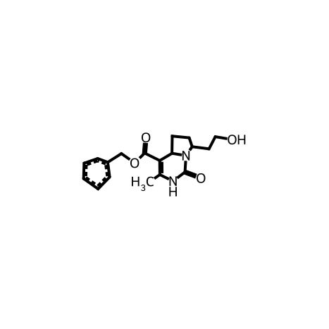 CC1=C(C(=O)OCc2ccccc2)C2CCC(CCO)N2C(=O)N1